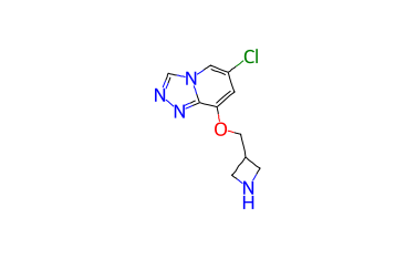 Clc1cc(OCC2CNC2)c2nncn2c1